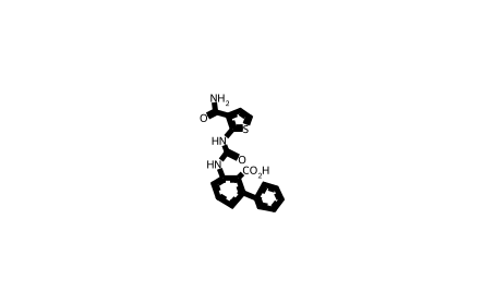 NC(=O)c1ccsc1NC(=O)Nc1cccc(-c2ccccc2)c1C(=O)O